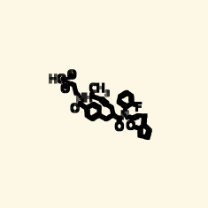 CCC#CCC(Cc1ccc(C(=O)NCCS(=O)(=O)O)cc1)C(=O)N(c1ccc2cccc-2o1)c1ccccc1F